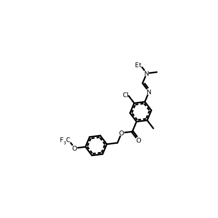 CCN(C)/C=N/c1cc(C)c(C(=O)OCc2ccc(OC(F)(F)F)cc2)cc1Cl